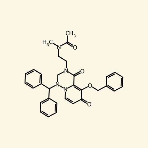 CC(=O)N(C)CCN1CN(C(c2ccccc2)c2ccccc2)n2ccc(=O)c(OCc3ccccc3)c2C1=O